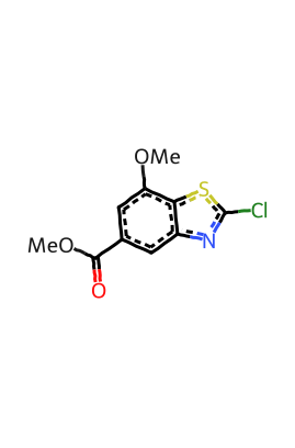 COC(=O)c1cc(OC)c2sc(Cl)nc2c1